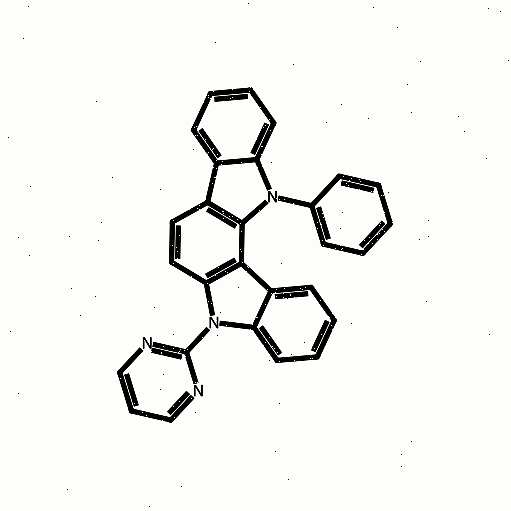 c1ccc(-n2c3ccccc3c3ccc4c(c5ccccc5n4-c4ncccn4)c32)cc1